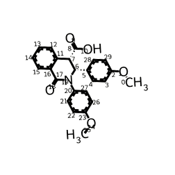 COc1ccc([C@H]2[C@@H](C(=O)O)c3ccccc3C(=O)N2c2ccc(OC)cc2)cc1